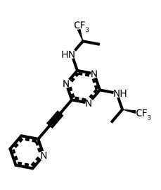 C[C@@H](Nc1nc(C#Cc2ccccn2)nc(N[C@H](C)C(F)(F)F)n1)C(F)(F)F